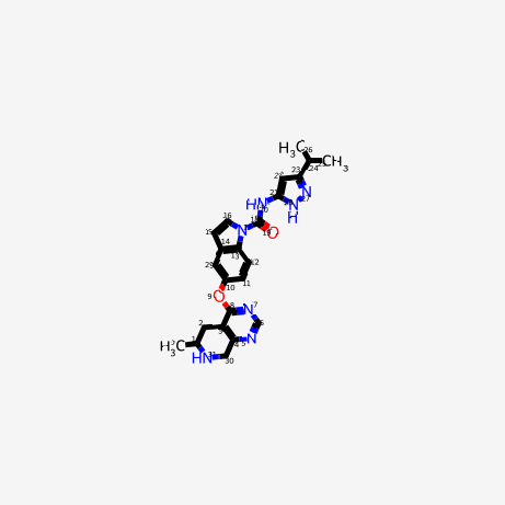 CC1Cc2c(ncnc2Oc2ccc3c(ccn3C(=O)Nc3cc(C(C)C)n[nH]3)c2)CN1